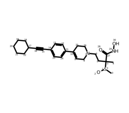 C[S+]([O-])C(C)(CCN1CC=C(c2ccc(C#CC3CCCCC3)cc2)CC1)C(=O)NO